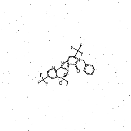 CCS(=O)(=O)c1cc(C(F)(F)F)cnc1-c1nc2cc(C(F)(F)F)n(Cc3ccccc3)c(=O)c2n1C